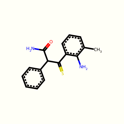 Cc1cccc(C(=S)C(C(N)=O)c2ccccc2)c1N